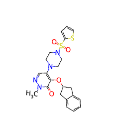 Cn1ncc(N2CCN(S(=O)(=O)c3cccs3)CC2)c(OC2Cc3ccccc3C2)c1=O